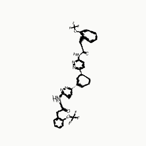 O=C(Cc1ccccc1OC(F)(F)F)Nc1ccc([C@H]2CCC[C@H](c3ccc(NC(=O)Cc4ccccc4OC(F)(F)F)nn3)C2)nn1